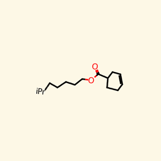 CC(C)CCCCCOC(=O)C1CC=CCC1